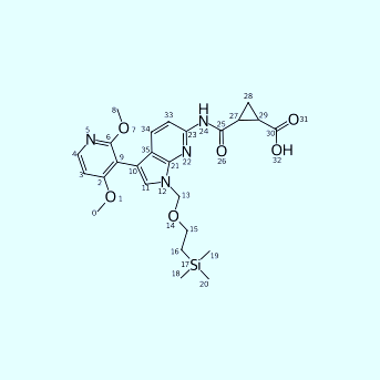 COc1ccnc(OC)c1-c1cn(COCC[Si](C)(C)C)c2nc(NC(=O)C3CC3C(=O)O)ccc12